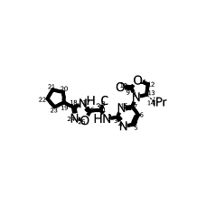 CC(Nc1nccc(N2C(=O)OC[C@@H]2C(C)C)n1)c1nc(C2CCCC2)no1